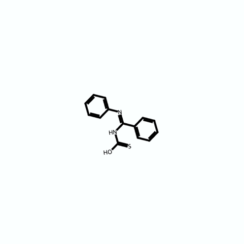 OC(=S)NC(=Nc1ccccc1)c1ccccc1